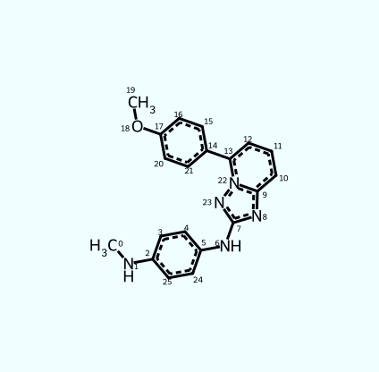 CNc1ccc(Nc2nc3cccc(-c4ccc(OC)cc4)n3n2)cc1